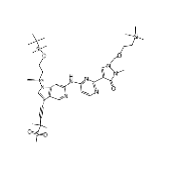 C[C@@H](CCO[Si](C)(C)C(C)(C)C)n1cc(C#CC(C)(C)S(C)(=O)=O)c2cnc(Nc3ccnc(-c4cn(COCC[Si](C)(C)C)n(C)c4=O)n3)cc21